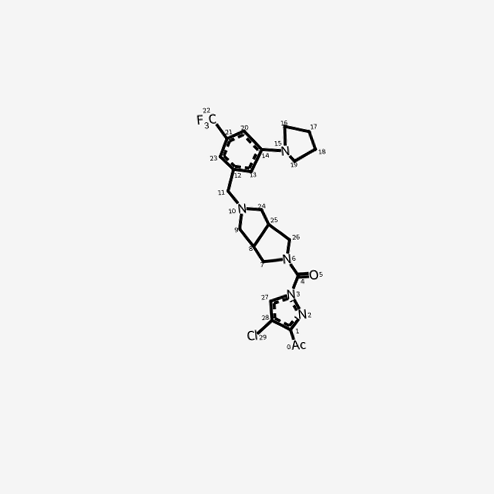 CC(=O)c1nn(C(=O)N2CC3CN(Cc4cc(N5CCCC5)cc(C(F)(F)F)c4)CC3C2)cc1Cl